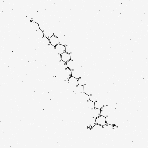 N#CCCCOc1ccc(Oc2ccc(/C=C/C(=O)OCCCCCCOC(=O)c3cc(N)cc(N)c3)cc2)cc1